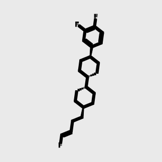 FC=CCC[C@H]1CC[C@H]([C@H]2CC[C@H](c3ccc(F)c(F)c3)CC2)CC1